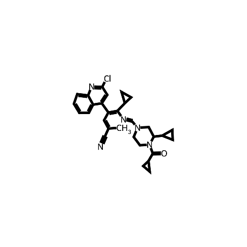 C\C(C#N)=C/C(=C(\N=C\N1CCN(C(=O)C2CC2)C(C2CC2)C1)C1CC1)c1cc(Cl)nc2ccccc12